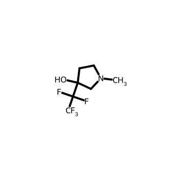 CN1CCC(O)(C(F)(F)C(F)(F)F)C1